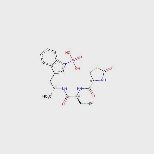 CC(C)C[C@H](NC(=O)[C@@H]1CSC(=O)N1)C(=O)N[C@@H](Cc1cn(P(=O)(O)O)c2ccccc12)C(=O)O